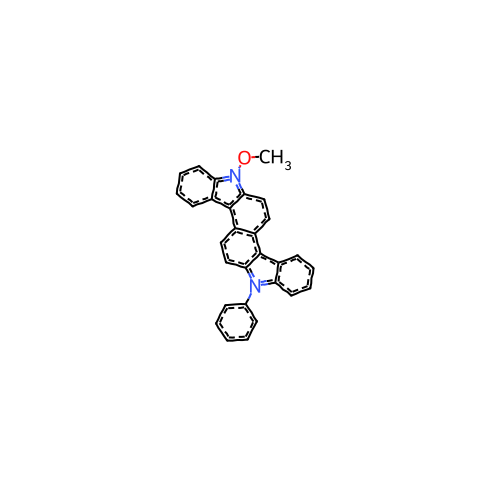 COn1c2ccccc2c2c3ccc4c(c3ccc21)c1ccccc1n4-c1ccccc1